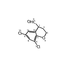 O=CC1CCOc2c(Cl)cc(Cl)cc21